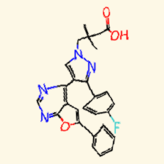 CC(C)(Cn1cc(-c2ncnc3oc(-c4ccccc4)cc23)c(-c2ccc(F)cc2)n1)C(=O)O